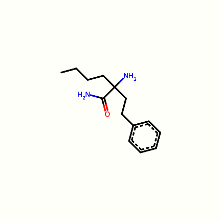 CCCCC(N)(CCc1ccccc1)C(N)=O